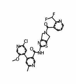 COc1cnc(Cl)cc1-c1cc(C)ncc1C(=O)Nc1nc2c(s1)CN(C(=O)c1cccnc1C(F)F)C2